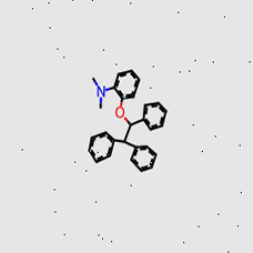 CN(C)c1ccccc1OC(c1ccccc1)C(c1ccccc1)c1ccccc1